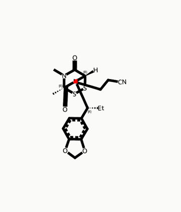 CC[C@H](c1ccc2c(c1)OCO2)N1C(=O)[C@@]2(C)SS[C@@H](C(=O)N2C)C1CCC#N